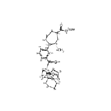 C[C@H]1CN(C(=O)OC(C)(C)C)CCCN1c1ncnc(C(=O)[C@@H]2CCC[C@@]3(CCCCC34OCCO4)C2=O)n1